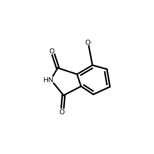 [O]c1cccc2c1C(=O)NC2=O